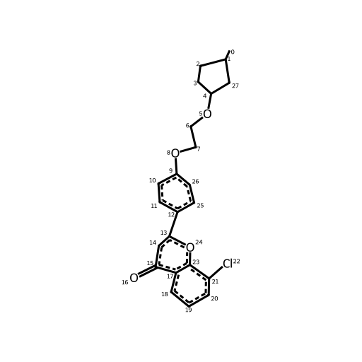 CC1CCC(OCCOc2ccc(-c3cc(=O)c4cccc(Cl)c4o3)cc2)C1